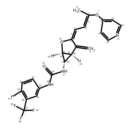 C=C1/C(=C\C=C(/C)Oc2ccncc2)O[C@@H]2[C@@H](NC(=O)Nc3ccc(F)c(C(F)(F)F)c3)[C@H]12